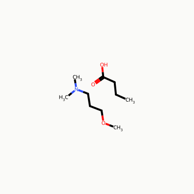 CCCC(=O)O.COCCCN(C)C